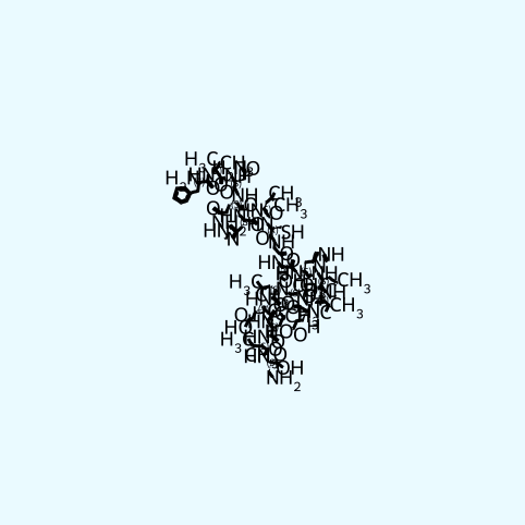 CC(C)C[C@H](NC(=O)[C@H](C)NC(=O)[C@H](CCC(=O)O)NC(=O)[C@@H](NC(=O)[C@H](CC(C)C)NC(=O)[C@H](Cc1c[nH]cn1)NC(=O)[C@H](CO)NC(=O)CNC(=O)[C@H](CS)NC(=O)[C@H](CC(C)C)NC(=O)[C@H](Cc1c[nH]cn1)NC(=O)[C@H](CCC(N)=O)NC(=O)[C@H](CC(N)=O)NC(=O)[C@@H](NC(=O)[C@@H](N)Cc1ccccc1)C(C)C)C(C)C)C(=O)N[C@@H](CCC(=O)O)C(=O)N[C@@H](CC(C)C)C(=O)N[C@H](C(=O)N[C@@H](CN)C(=O)O)C(C)C